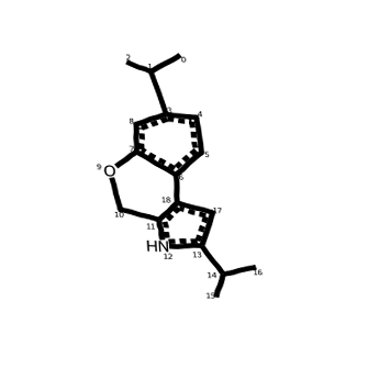 CC(C)c1ccc2c(c1)OCc1[nH]c(C(C)C)cc1-2